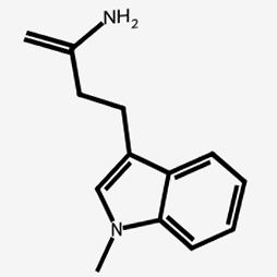 C=C(N)CCc1cn(C)c2ccccc12